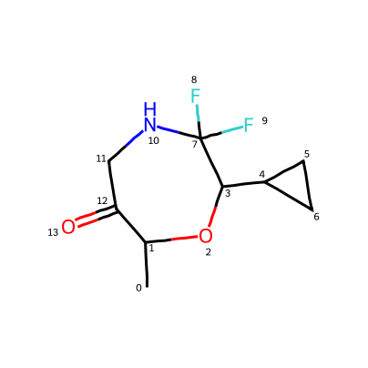 CC1OC(C2CC2)C(F)(F)NCC1=O